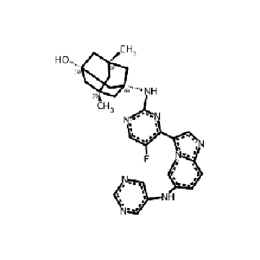 C[C@]12C[C@]3(C)C[C@](O)(C1)C[C@](Nc1ncc(F)c(-c4cnc5ccc(Nc6cncnc6)cn45)n1)(C2)C3